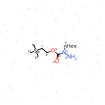 CCCCCCN(N)C(=O)OCC[Si](C)(C)C